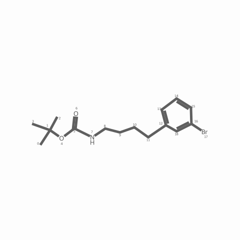 CC(C)(C)OC(=O)NCCCCc1cccc(Br)c1